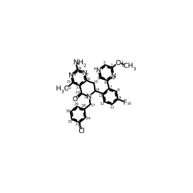 COc1cncc(-c2cc(F)ccc2C2Cc3nc(N)nc(C)c3C(=O)N2Cc2cccc(Cl)c2)n1